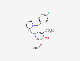 CCCCOc1cn(C[C@@H]2CCCN2Cc2ccc(F)cc2)cc(C(=O)OCC)c1=O